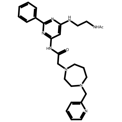 CC(=O)NCCNc1cc(NC(=O)CN2CCCN(Cc3ccccn3)CC2)nc(-c2ccccc2)n1